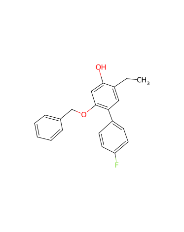 CCc1cc(-c2ccc(F)cc2)c(OCc2ccccc2)cc1O